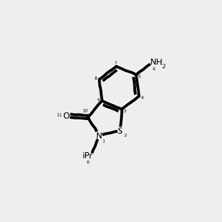 CC(C)n1sc2cc(N)ccc2c1=O